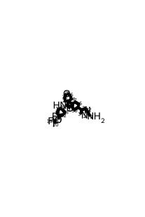 Nc1ncc(-c2ccc(C3(C(=O)Nc4ccc(OC(F)(F)F)cc4)CCOCC3)cc2)cn1